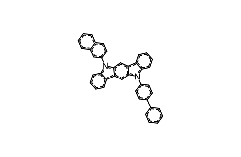 c1ccc(-c2ccc(-n3c4ccccc4c4cc5c(cc43)c3ccccc3n5-c3ccc4ccccc4c3)cc2)cc1